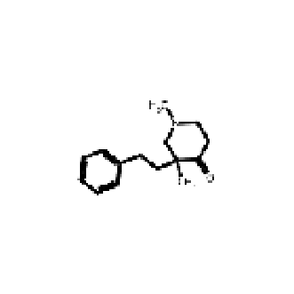 CN1CCC(=O)C(C)(CCc2ccccc2)C1